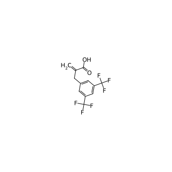 C=C(Cc1cc(C(F)(F)F)cc(C(F)(F)F)c1)C(=O)O